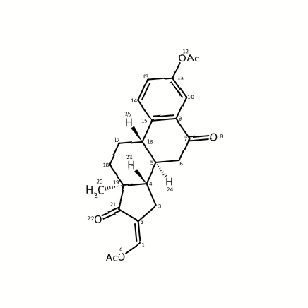 CC(=O)OC=C1C[C@H]2[C@@H]3CC(=O)c4cc(OC(C)=O)ccc4[C@H]3CC[C@]2(C)C1=O